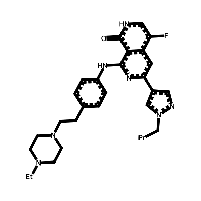 CCN1CCN(CCc2ccc(Nc3nc(-c4cnn(CC(C)C)c4)cc4c(F)c[nH]c(=O)c34)cc2)CC1